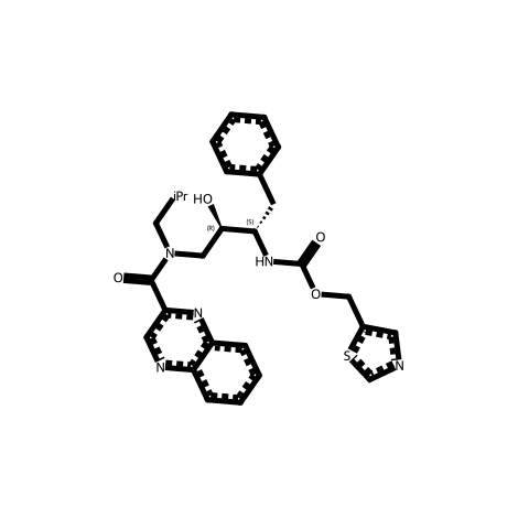 CC(C)CN(C[C@@H](O)[C@H](Cc1ccccc1)NC(=O)OCc1cncs1)C(=O)c1cnc2ccccc2n1